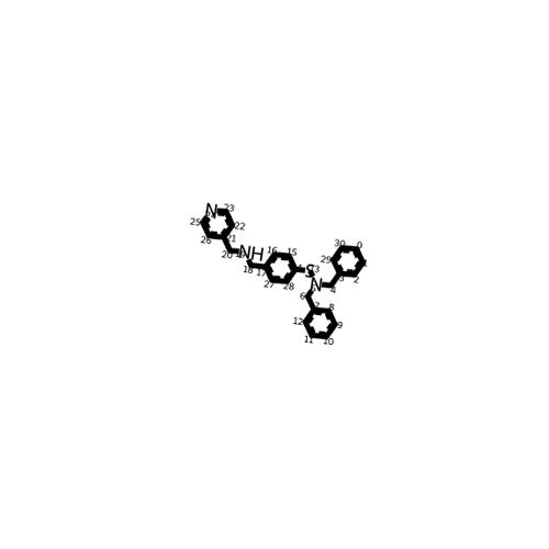 c1ccc(CN(Cc2ccccc2)Sc2ccc(CNCc3ccncc3)cc2)cc1